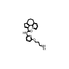 CCNCCCOc1cccc(NC(=O)C2=CCC3=C2c2ncccc2CCC3)n1